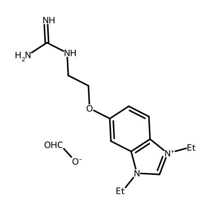 CCn1c[n+](CC)c2ccc(OCCNC(=N)N)cc21.O=C[O-]